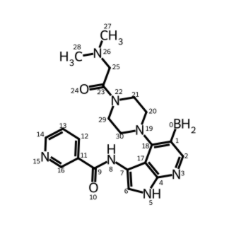 Bc1cnc2[nH]cc(NC(=O)c3cccnc3)c2c1N1CCN(C(=O)CN(C)C)CC1